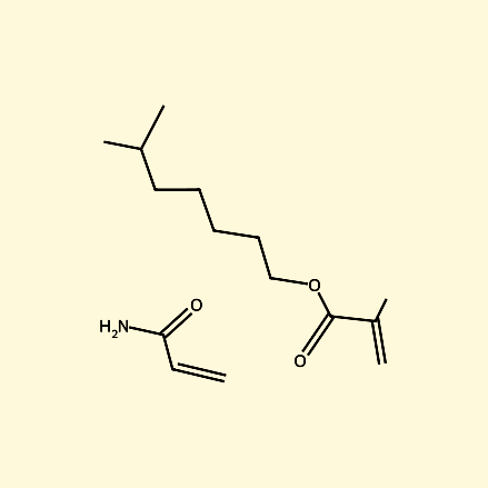 C=C(C)C(=O)OCCCCCC(C)C.C=CC(N)=O